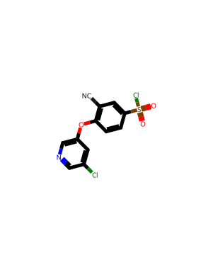 N#Cc1cc(S(=O)(=O)Cl)ccc1Oc1cncc(Cl)c1